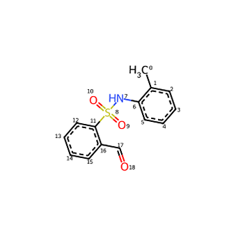 Cc1ccccc1NS(=O)(=O)c1ccccc1C=O